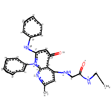 CCNC(=O)CNc1cc(C)nc2c1c(=O)cc(Nc1ccccc1)n2-c1ccccc1